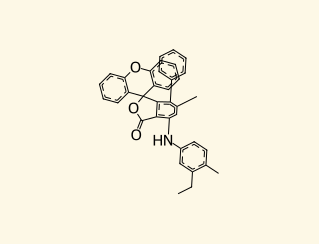 CCc1cc(Nc2cc(C)c(-c3ccccc3)c3c2C(=O)OC32c3ccccc3Oc3ccccc32)ccc1C